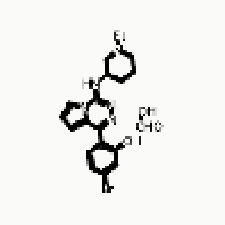 CCN1CCC[C@@H](Nc2nnc(-c3ccc(Br)cc3O)c3cccn23)C1.O=CO